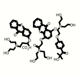 CC(C)(O)C(=O)c1ccc(OCCN(CCO)CCO)cc1.O=C(COc1ccc(Cl)c2c(=O)c3ccccc3sc12)N(CCO)CCO.O=C(O)C(CCN(CCO)CCO)Oc1ccc2sc3ccccc3c(=O)c2c1